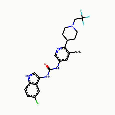 Cc1cc(NC(=O)Nc2c[nH]c3ccc(Cl)cc23)cnc1C1CCN(CC(F)(F)F)CC1